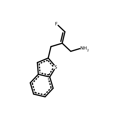 NC/C(=C/F)Cc1cc2ccccc2s1